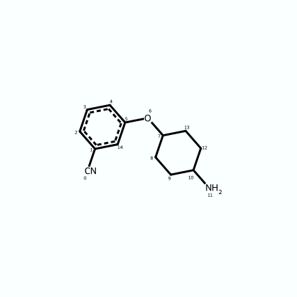 N#Cc1cccc(OC2CCC(N)CC2)c1